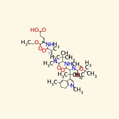 CCOC(=O)[C@@H](CCC(=O)O)NC(=O)/C(C)=C/CN(C)C(=O)C(NC(=O)C(N(C)C(=O)OC(C)(C)C)C(C)(C)c1cn(C)c2c1C=C(C)CC2)C(C)(C)C